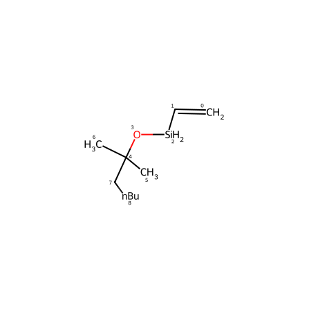 C=C[SiH2]OC(C)(C)CCCCC